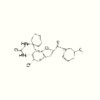 COC1CCCN(C(=O)c2cc3cc(Cl)c4c(c3o2)C2(CCCCC2)NC(=O)N4)C1